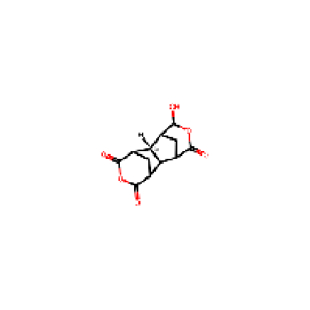 O=C1OC(=O)C2CC1C1C3CC(C(O)OC3=O)[C@@H]21